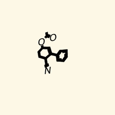 CC(=O)OC1C=C(c2ccccc2)C(C#N)CC1